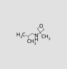 CC(C)CNC1(C)COC1